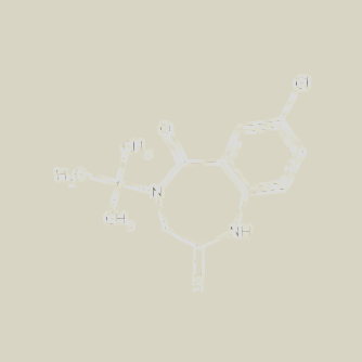 CC(C)(C)N1CC(=S)Nc2ccc(Cl)cc2C1=O